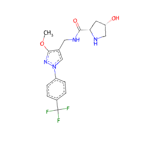 COc1nn(-c2ccc(C(F)(F)F)cc2)cc1CNC(=O)[C@@H]1C[C@H](O)CN1